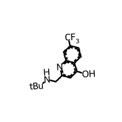 CC(C)(C)NCc1cc(O)c2ccc(C(F)(F)F)cc2n1